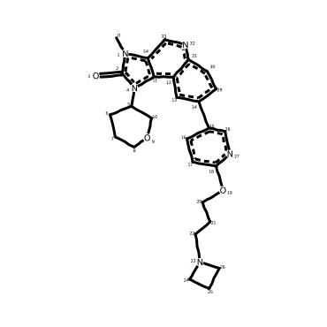 Cn1c(=O)n(C2CCCOC2)c2c3cc(-c4ccc(OCCCN5CCC5)nc4)ccc3ncc21